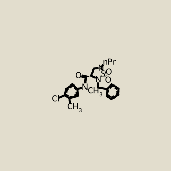 CCCN1C[C@@H](C(=O)N(C)c2ccc(Cl)c(C)c2)N(Cc2ccccc2)S1(=O)=O